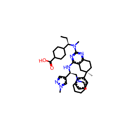 CC[C@H](C1CCC(C(=O)O)CC1)N(C)c1nc2c(c(N[C@@H](CN3CCCCC3)c3cnn(C)c3)n1)C[C@](C)(c1ccccc1)CC2